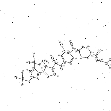 Cn1c(-c2cn(CC(F)(F)F)nc2C(F)(F)F)cnc1C(=O)Nc1ccc(C(=O)N2CCN(C(=O)NC3CNC3)CC2)c(Cl)c1